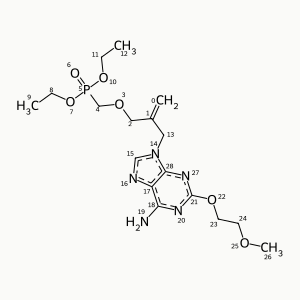 C=C(COCP(=O)(OCC)OCC)Cn1cnc2c(N)nc(OCCOC)nc21